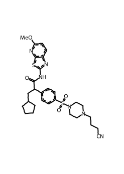 COc1ccc2nc(NC(=O)C(CC3CCCC3)c3ccc(S(=O)(=O)N4CCN(CCCC#N)CC4)cc3)sc2n1